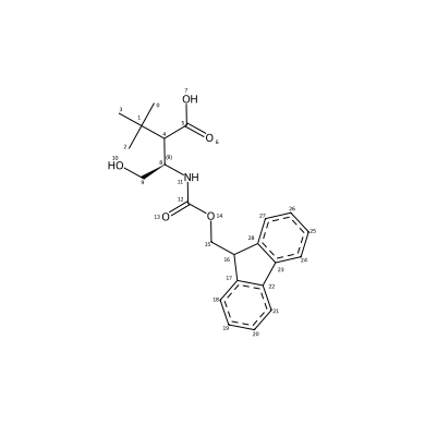 CC(C)(C)C(C(=O)O)[C@H](CO)NC(=O)OCC1c2ccccc2-c2ccccc21